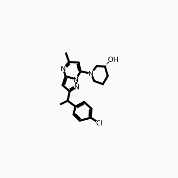 Cc1cc(N2CCC[C@@H](O)C2)n2nc(C(C)c3ccc(Cl)cc3)cc2n1